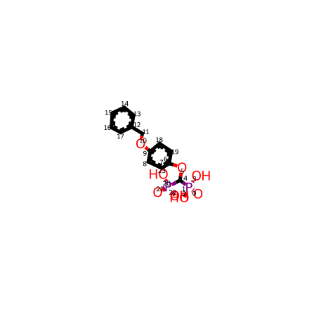 O=P(O)(O)C(Oc1ccc(OCc2ccccc2)cc1)P(=O)(O)O